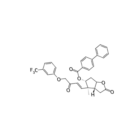 C[C@]1(/C=C/C(=O)COc2cccc(C(F)(F)F)c2)[C@H](OC(=O)c2ccc(-c3ccccc3)cc2)CC2OC(=O)C[C@@H]21